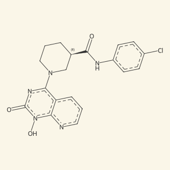 O=C(Nc1ccc(Cl)cc1)[C@@H]1CCCN(c2nc(=O)n(O)c3ncccc23)C1